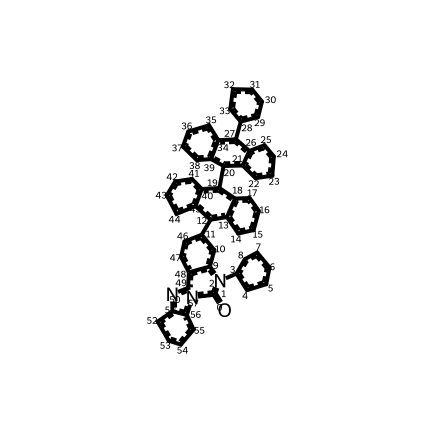 O=c1n(-c2ccccc2)c2cc(-c3c4ccccc4c(-c4c5ccccc5c(-c5ccccc5)c5ccccc45)c4ccccc34)ccc2c2nc3ccccc3n12